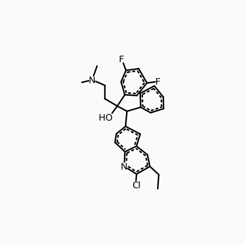 CCc1cc2cc(C(c3ccccc3)C(O)(CCN(C)C)c3cc(F)cc(F)c3)ccc2nc1Cl